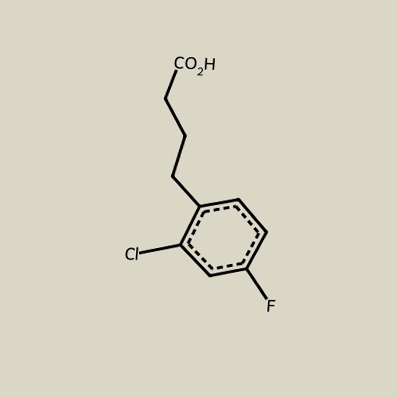 O=C(O)CCCc1ccc(F)cc1Cl